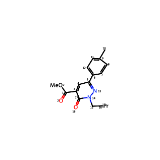 COC(=O)c1cc(-c2ccc(C)cc2)nn(CC(C)C)c1=O